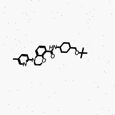 Cc1ccc(N2CCOc3c(C(=O)NC4CCC(COC(C)(C)C)CC4)cccc32)nc1